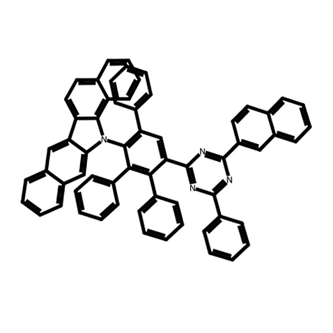 c1ccc(-c2nc(-c3ccc4ccccc4c3)nc(-c3cc(-c4ccccc4)c(-n4c5cc6ccccc6cc5c5ccc6ccccc6c54)c(-c4ccccc4)c3-c3ccccc3)n2)cc1